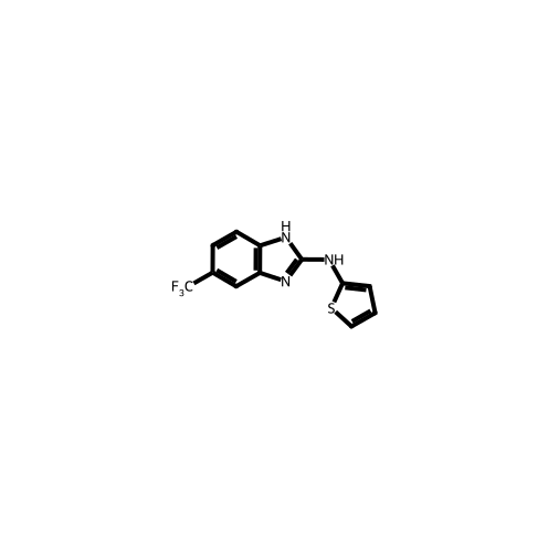 FC(F)(F)c1ccc2[nH]c(Nc3cccs3)nc2c1